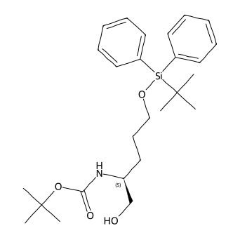 CC(C)(C)OC(=O)N[C@H](CO)CCCO[Si](c1ccccc1)(c1ccccc1)C(C)(C)C